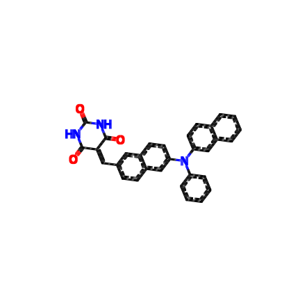 O=C1NC(=O)C(=Cc2ccc3cc(N(c4ccccc4)c4ccc5ccccc5c4)ccc3c2)C(=O)N1